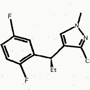 CC[C@@H](c1cc(F)ccc1F)c1cn(C)nc1C#N